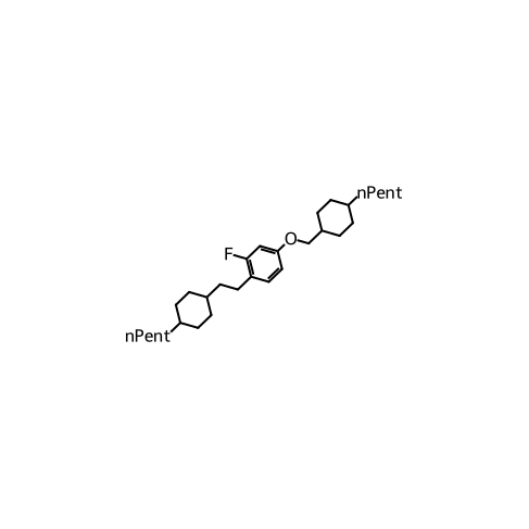 CCCCCC1CCC(CCc2ccc(OCC3CCC(CCCCC)CC3)cc2F)CC1